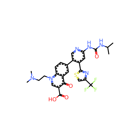 CC(C)NC(=O)Nc1cc(-c2nc(C(F)(F)F)cs2)c(-c2ccc3c(c2)c(=O)c(C(=O)O)cn3CCN(C)C)cn1